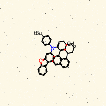 CC1C=C(c2cccc3cccc(C4CCCCC4)c23)C(N(c2ccc(C(C)(C)C)cc2)c2ccc3c(c2)oc2ccccc23)=CC1